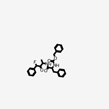 CC(NC(=O)C(Cc1ccccc1)NC(=O)OCc1ccccc1)C(=O)C(F)c1ccccc1